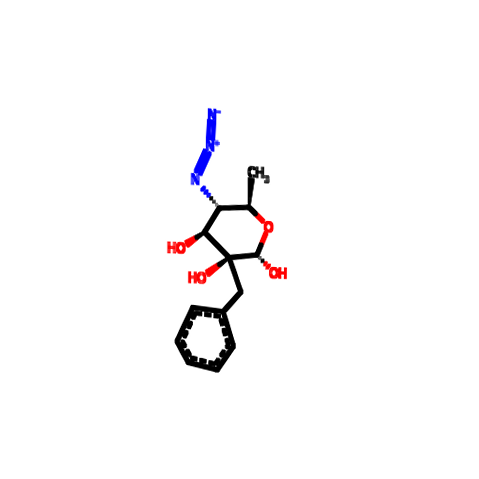 C[C@H]1O[C@H](O)[C@](O)(Cc2ccccc2)[C@@H](O)[C@@H]1N=[N+]=[N-]